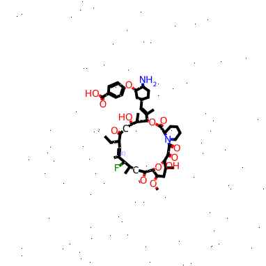 CCC1/C=C(\C)C(F)C(C)CC(OC)C2OC(O)(C(=O)C(=O)N3CCCCC3C(=O)OC(C(C)=CC3CCC(N)C(Oc4ccc(C(=O)O)cc4)C3)C(C)C(O)CC1=O)C(C)CC2OC